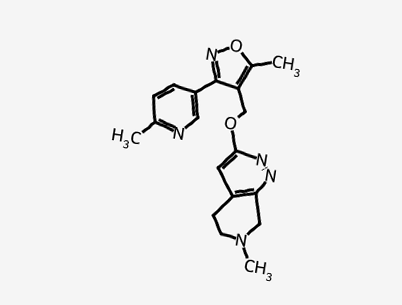 Cc1ccc(-c2noc(C)c2COc2cc3c(nn2)CN(C)CC3)cn1